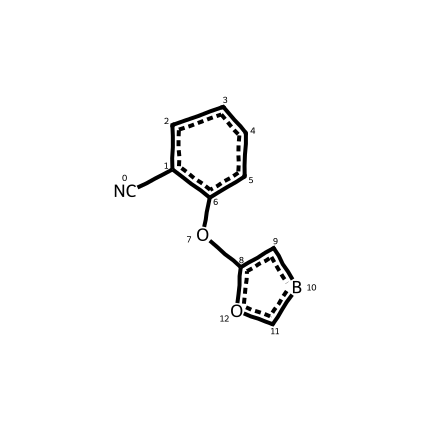 N#Cc1ccccc1Oc1cbco1